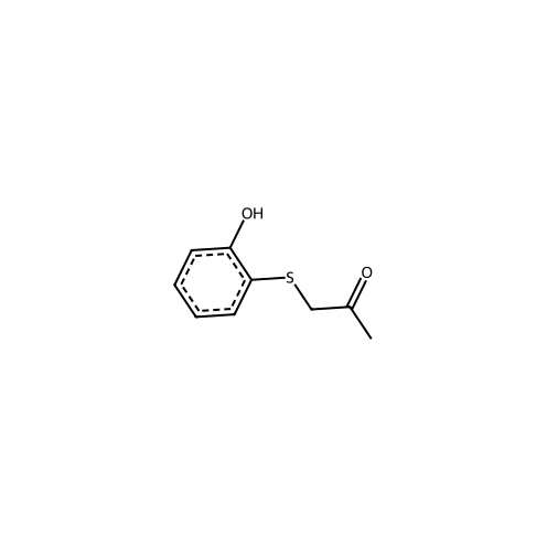 CC(=O)CSc1ccccc1O